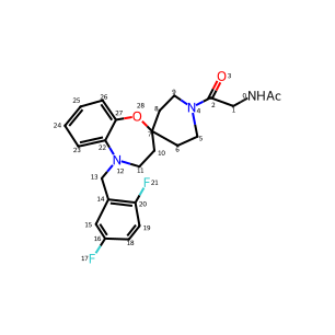 CC(=O)NCC(=O)N1CCC2(CC1)CCN(Cc1cc(F)ccc1F)c1ccccc1O2